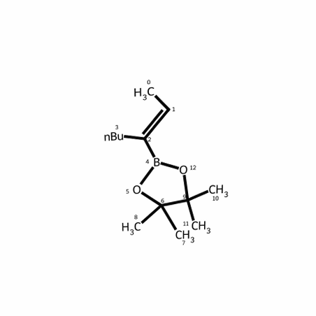 C/C=C(\CCCC)B1OC(C)(C)C(C)(C)O1